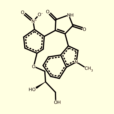 Cn1cc(C2=C(c3cc(OC[C@H](O)CO)ccc3[N+](=O)[O-])C(=O)NC2=O)c2ccccc21